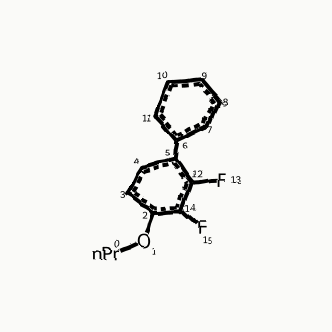 CCCOc1ccc(-c2ccccc2)c(F)c1F